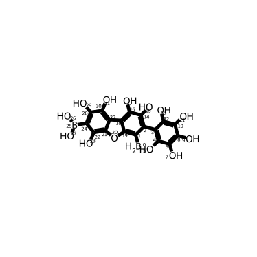 Bc1c(-c2c(O)c(O)c(O)c(O)c2O)c(O)c(O)c2c1oc1c(O)c(B(O)O)c(O)c(O)c12